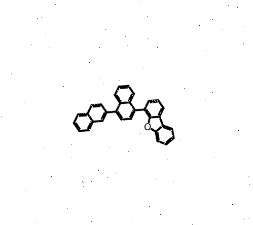 c1ccc2cc(-c3ccc(-c4cccc5c4oc4ccccc45)c4ccccc34)ccc2c1